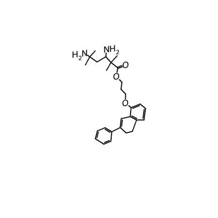 CC(C)(N)CC(N)C(C)(C)C(=O)OCCCOc1cccc2c1C=C(c1ccccc1)CC2